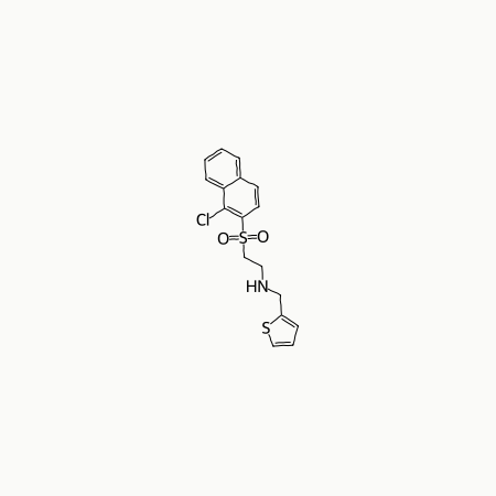 O=S(=O)(CCNCc1cccs1)c1ccc2ccccc2c1Cl